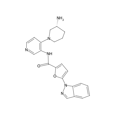 N[C@@H]1CCCN(c2ccncc2NC(=O)c2ccc(-n3ncc4ccccc43)o2)C1